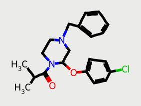 CC(C)C(=O)N1CCN(Cc2ccccc2)CC1Oc1ccc(Cl)cc1